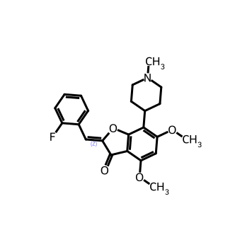 COc1cc(OC)c(C2CCN(C)CC2)c2c1C(=O)/C(=C/c1ccccc1F)O2